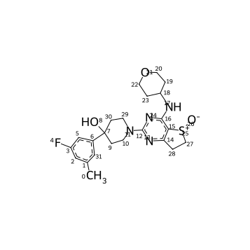 Cc1cc(F)cc(C2(O)CCN(c3nc4c(c(NC5CCOCC5)n3)[S+]([O-])CC4)CC2)c1